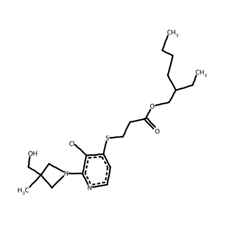 CCCCC(CC)COC(=O)CCSc1ccnc(N2CC(C)(CO)C2)c1Cl